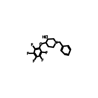 Cl.Fc1c(F)c(F)c(OC2CCN(Cc3ccccc3)CC2)c(F)c1F